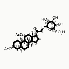 CC(=O)O[C@@H]1CC[C@H]2[C@@H](CC[C@H]3[C@@H]4CC[C@H](C(=O)COC5O[C@H](C(=O)O)[C@@H](O)[C@H](O)[C@H]5O)[C@@]4(C)C[C@@H](OC(C)=O)[C@]23F)C1